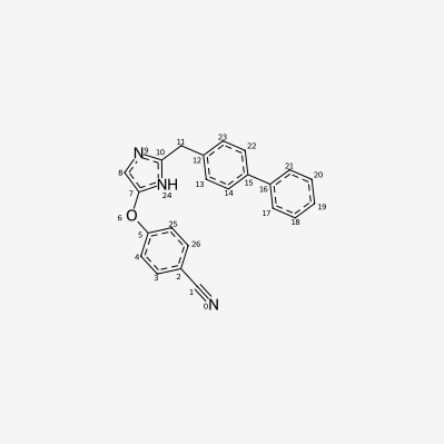 N#Cc1ccc(Oc2cnc(Cc3ccc(-c4ccccc4)cc3)[nH]2)cc1